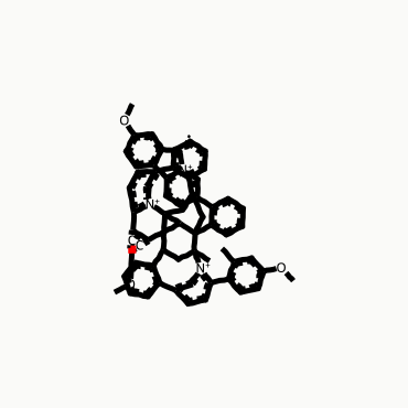 COc1ccc(-c2ccc3c[n+]2C2(C)CC(c4ccccc4-3)C34c5cc(OC)ccc5-c5ccc6c[n+]5C35CC(CC2(c2ccccc2-c2ccc3[n+](c2)[C@@H](C)c2cc(OC)ccc2-3)C45)c2ccccc2-6)c(C)c1